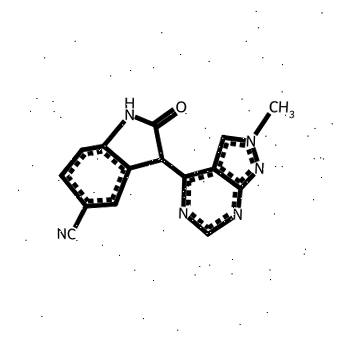 Cn1cc2c(C3C(=O)Nc4ccc(C#N)cc43)ncnc2n1